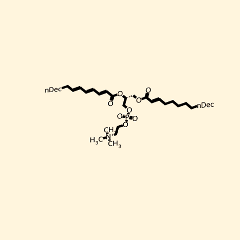 CCCCCCCCCCCC=CC=CC=CC(=O)O[C@H](COC(=O)C=CCCCCCCCCCCCCCCC)COP(=O)([O-])OCC[N+](C)(C)C